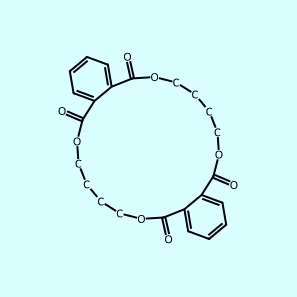 O=C1OCCCCOC(=O)c2ccccc2C(=O)OCCCCOC(=O)c2ccccc21